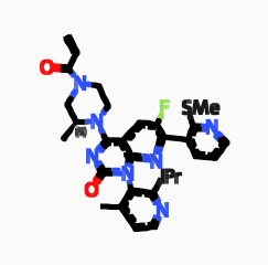 C=CC(=O)N1CCN(c2nc(=O)n(-c3c(C)ccnc3C(C)C)c3nc(-c4cccnc4SC)c(F)cc23)[C@@H](C)C1